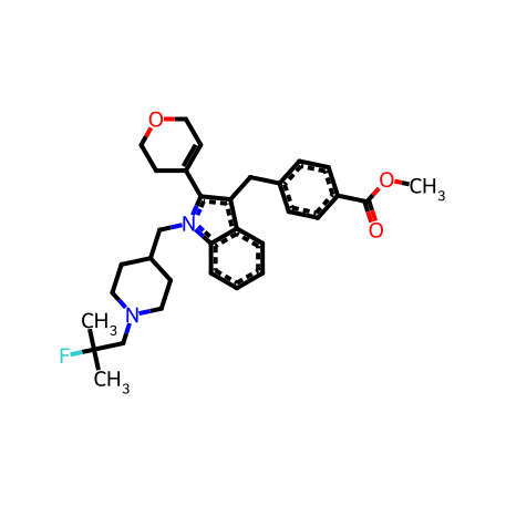 COC(=O)c1ccc(Cc2c(C3=CCOCC3)n(CC3CCN(CC(C)(C)F)CC3)c3ccccc23)cc1